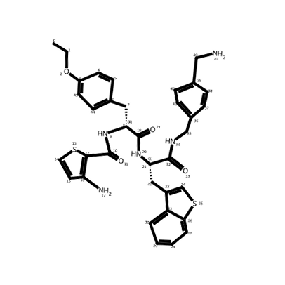 CCOc1ccc(C[C@@H](NC(=O)c2sccc2N)C(=O)N[C@@H](Cc2csc3ccccc23)C(=O)NCc2ccc(CN)cc2)cc1